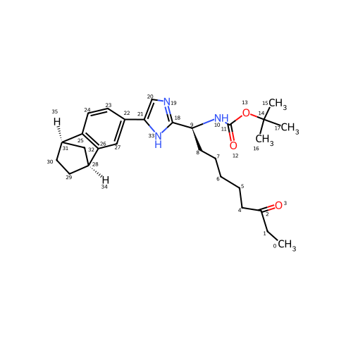 CCC(=O)CCCCC[C@H](NC(=O)OC(C)(C)C)c1ncc(-c2ccc3c(c2)[C@H]2CC[C@@H]3C2)[nH]1